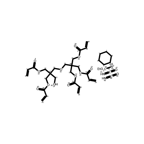 C1CCCCC1.C=CC(=O)OCC(CO)(COCC(COC(=O)C=C)(COC(=O)C=C)COC(=O)C=C)COC(=O)C=C.CCOC(N)=O.N=C=O.N=C=O